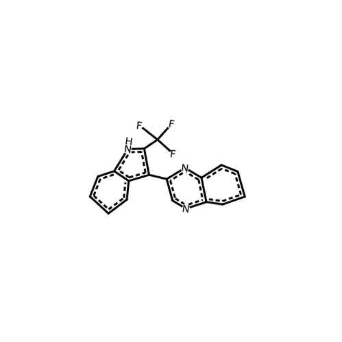 FC(F)(F)c1[nH]c2ccccc2c1-c1cnc2ccccc2n1